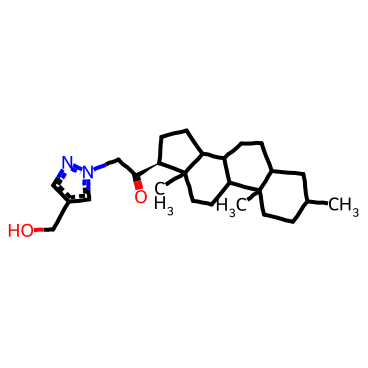 CC1CCC2(C)C(CCC3C2CCC2(C)C3CC[C@@H]2C(=O)Cn2cc(CO)cn2)C1